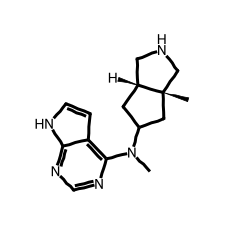 CN(c1ncnc2[nH]ccc12)C1C[C@@H]2CNC[C@]2(C)C1